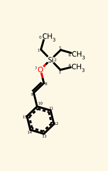 CC[Si](CC)(CC)OC=Cc1ccccc1